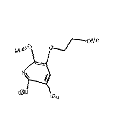 COCCOc1cc(C(C)(C)C)c(C(C)(C)C)nc1OC